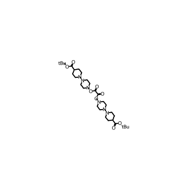 CC(C)(C)OC(=O)C1CCN(N2CCN(OC(=O)C(=O)ON3CCN(N4CCC(C(=O)OC(C)(C)C)CC4)CC3)CC2)CC1